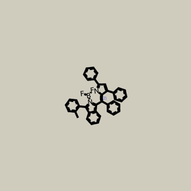 Cc1ccccc1-c1c2ccccc2c(/C(=C2\N=C(c3ccccc3)C=C2c2ccccc2)c2ccccc2)n1B(F)F